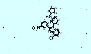 O=[N+]([O-])c1cccc(-c2nc3c(Cl)cccn3c2-c2ccnc(NC3CCCC3)n2)c1